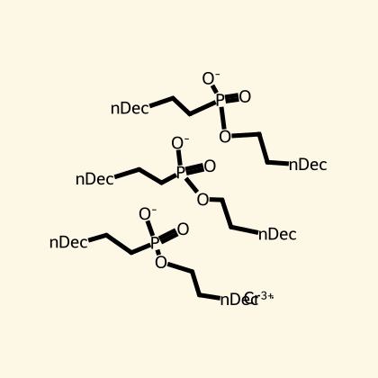 CCCCCCCCCCCCOP(=O)([O-])CCCCCCCCCCCC.CCCCCCCCCCCCOP(=O)([O-])CCCCCCCCCCCC.CCCCCCCCCCCCOP(=O)([O-])CCCCCCCCCCCC.[Cr+3]